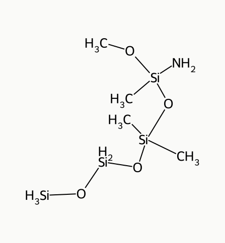 CO[Si](C)(N)O[Si](C)(C)O[SiH2]O[SiH3]